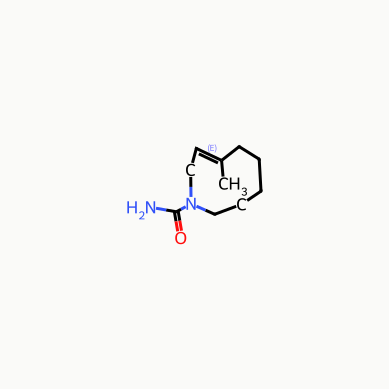 C/C1=C\CN(C(N)=O)CCCCC1